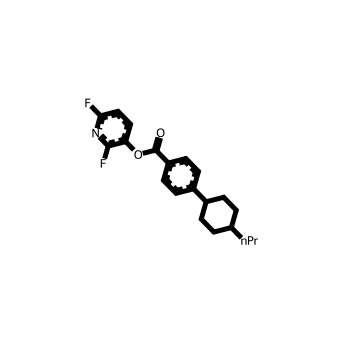 CCCC1CCC(c2ccc(C(=O)Oc3ccc(F)nc3F)cc2)CC1